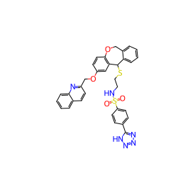 O=S(=O)(NCCSC1c2ccccc2COc2ccc(OCc3ccc4ccccc4n3)cc21)c1ccc(-c2nnn[nH]2)cc1